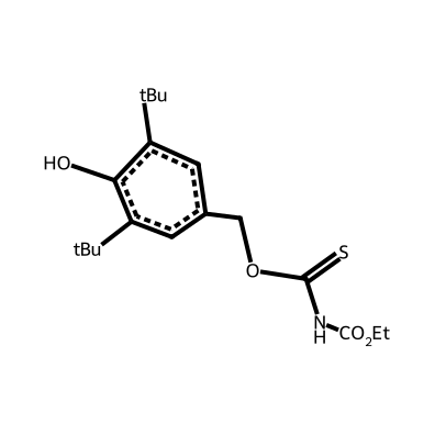 CCOC(=O)NC(=S)OCc1cc(C(C)(C)C)c(O)c(C(C)(C)C)c1